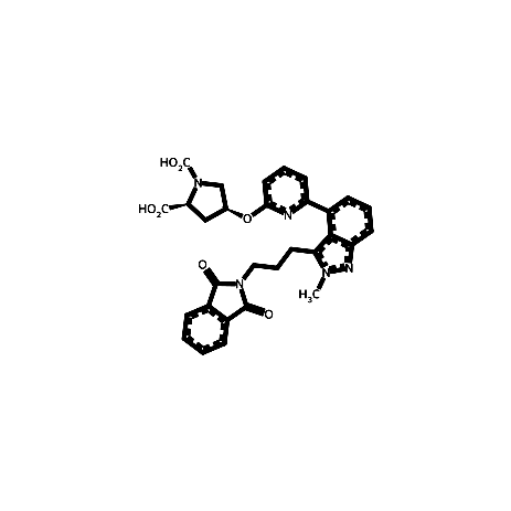 Cn1nc2cccc(-c3cccc(O[C@H]4C[C@@H](C(=O)O)N(C(=O)O)C4)n3)c2c1CCCN1C(=O)c2ccccc2C1=O